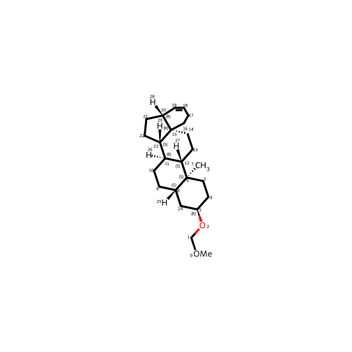 COCO[C@@H]1CC[C@@]2(C)[C@@H](CC[C@@H]3[C@@H]2CC[C@@]24CCC=C[C@H]2CC[C@@H]34)C1